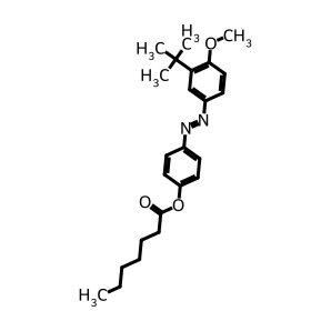 CCCCCCC(=O)Oc1ccc(N=Nc2ccc(OC)c(C(C)(C)C)c2)cc1